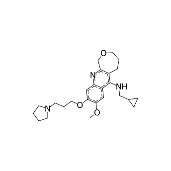 COc1cc2c(NCC3CC3)c3c(nc2cc1OCCCN1CCCC1)COCCC3